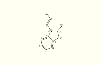 C/C=C/N1c2ccccc2CC1C